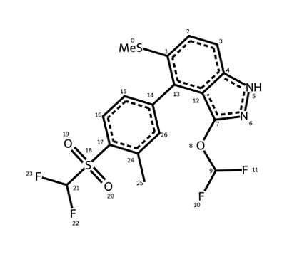 CSc1ccc2[nH]nc(OC(F)F)c2c1-c1ccc(S(=O)(=O)C(F)F)c(C)c1